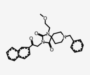 COCCN1C(=O)N(CC(=O)c2ccc3ccccc3c2)C(=O)C12CCN(Cc1ccccc1)CC2